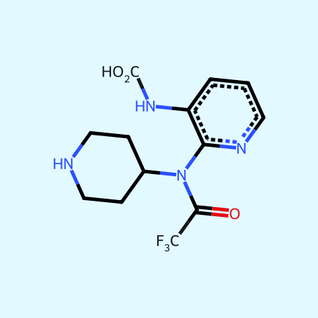 O=C(O)Nc1cccnc1N(C(=O)C(F)(F)F)C1CCNCC1